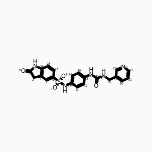 O=C1Cc2cc(S(=O)(=O)Nc3ccc(NC(=O)NCc4cccnc4)cc3)ccc2N1